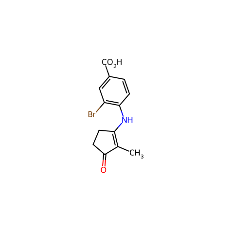 CC1=C(Nc2ccc(C(=O)O)cc2Br)CCC1=O